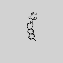 Cc1ccc2nc3c(cc2c1)CN(C(=O)OC(C)(C)C)CC3